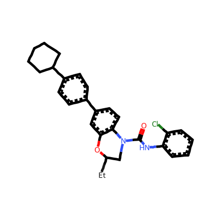 CCC1CN(C(=O)Nc2ccccc2Cl)c2ccc(-c3ccc(C4CCCCC4)cc3)cc2O1